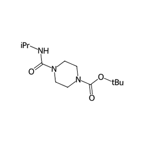 CC(C)NC(=O)N1CCN(C(=O)OC(C)(C)C)CC1